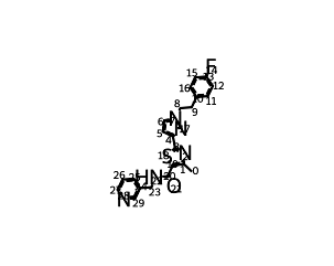 Cc1nc(-c2ccn(CCc3ccc(F)cc3)n2)sc1C(=O)NCc1cccnc1